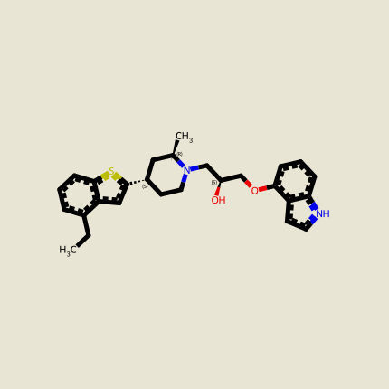 CCc1cccc2sc([C@H]3CCN(C[C@H](O)COc4cccc5[nH]ccc45)[C@H](C)C3)cc12